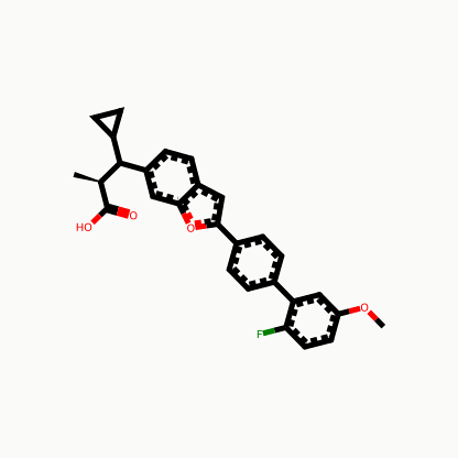 COc1ccc(F)c(-c2ccc(-c3cc4ccc(C(C5CC5)[C@H](C)C(=O)O)cc4o3)cc2)c1